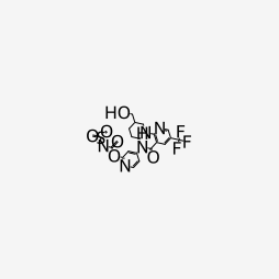 O=C(N=S(=O)=O)Oc1cc(NC(=O)c2cc(C(F)(F)F)cnc2N2CCCC(CO)C2)ccn1